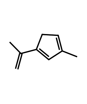 C=C(C)C1=CC(C)=CC1